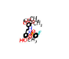 COc1cc(C=Cc2ccc(O)c(OC)c2NS(=O)(=O)c2cccc(F)c2)cc(OC)c1OC